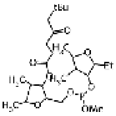 CCC1OC(C)C(C)C1OP(OC)OCC1OC(C)C(C)C1OC(=O)CCC(=O)CC(C)(C)C